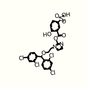 O=C(Oc1nccn1CCOC(c1ccc(Cl)cc1Cl)c1ccc(Cl)cc1Cl)c1cc(S(=O)(=O)O)ccc1O